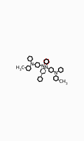 Cc1cccc(N(c2ccccc2)c2ccc(N(c3ccccc3)C3(N(c4ccccc4)c4ccc(N(c5ccccc5)c5cccc(C)c5)cc4)C=CC(c4ccccc4)=CC3)cc2)c1